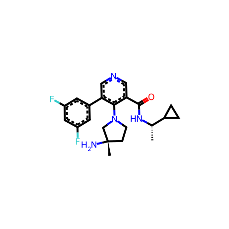 C[C@H](NC(=O)c1cncc(-c2cc(F)cc(F)c2)c1N1CC[C@](C)(N)C1)C1CC1